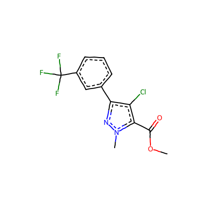 COC(=O)c1c(Cl)c(-c2cccc(C(F)(F)F)c2)nn1C